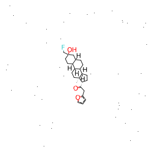 C[C@]12CC[C@H]3[C@@H](CC[C@H]4C[C@@](O)(CF)CC[C@@H]43)[C@@H]1CC[C@@H]2C(=O)Cc1ccco1